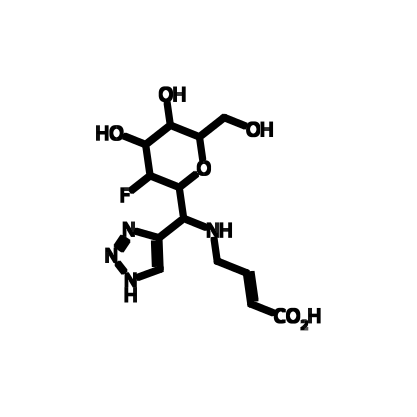 O=C(O)C=CCNC(c1c[nH]nn1)C1OC(CO)C(O)C(O)C1F